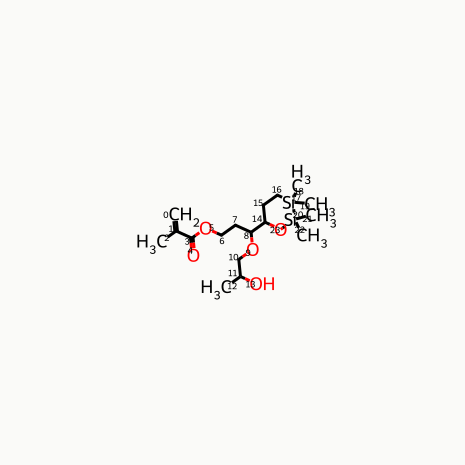 C=C(C)C(=O)OCCC(OCC(C)O)C1CC[Si](C)(C)[Si](C)(C)O1